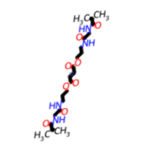 CC(C)C(=O)NCC(=O)NCCCOC(=O)/C=C/C(=O)OCCCNC(=O)CNC(=O)C(C)C